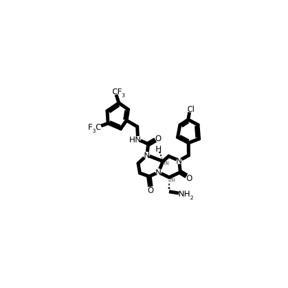 NC[C@H]1C(=O)N(Cc2ccc(Cl)cc2)C[C@@H]2N(C(=O)NCc3cc(C(F)(F)F)cc(C(F)(F)F)c3)CCC(=O)N21